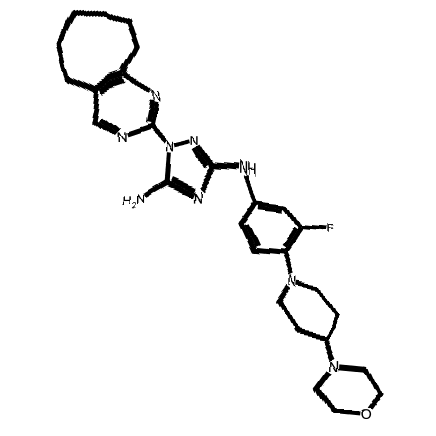 Nc1nc(Nc2ccc(N3CCC(N4CCOCC4)CC3)c(F)c2)nn1-c1ncc2c(n1)CCCCCC2